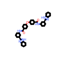 O=C(Nc1cccc(-c2nc3ccccc3[nH]2)c1)c1ccc(Oc2ccc(C(=O)Nc3cccc(-c4nc5ccccc5[nH]4)c3)cc2)cc1